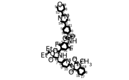 CCC(CC)OC(=O)[C@H](Cc1ccc(-n2c(=O)c3ccccc3n(C)c2=O)nc1)NC(=O)c1cc(F)c(NS(=O)(=O)c2ccc(-c3cnc(C4CCOCC4)nc3)cc2)cc1F